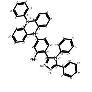 [2H]c1cc(N2c3ccccc3N(c3ccccc3)c3ccccc32)ccc1-c1nnc(-c2ccccc2)n1-c1ccccc1